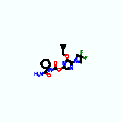 NC(=O)C1(NC(=O)Oc2cnc(N3CC(F)(F)C3)c(OCC3CC3)n2)CCCCC1